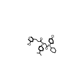 COc1cccc(CCC(=O)N(CC(=O)N(c2ccc(Cl)cc2)C2CCCCC2)c2ccc(C(C)C)cc2)c1